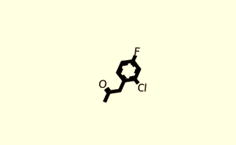 CC(=O)Cc1ccc(F)cc1Cl